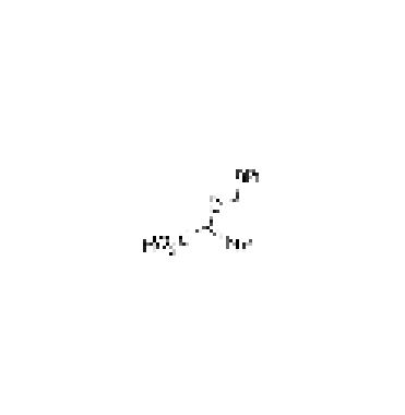 CCCCOC(=N)C(=O)O